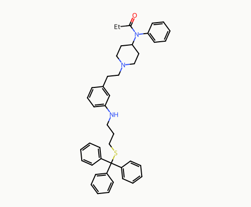 CCC(=O)N(c1ccccc1)C1CCN(CCc2cccc(NCCCSC(c3ccccc3)(c3ccccc3)c3ccccc3)c2)CC1